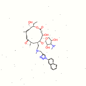 CC[C@H]1OC(=O)C[C@@H](O)[C@H](C)[C@@H](O[C@@H]2O[C@H](C)[C@@H](O)C(N(C)C)C2O)[C@@H](CCN(C)Cc2cn(-c3ccc4ccccc4c3)nn2)C[C@@H](C)C(=O)/C=C/C(C)=C/[C@@H]1CO